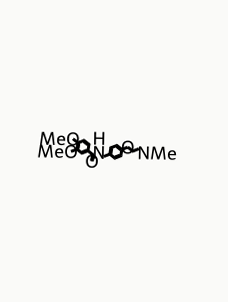 CNCCOc1ccc(CNC(=O)c2ccc(OC)c(OC)c2)cc1